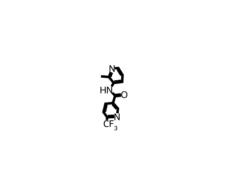 Cc1ncccc1NC(=O)c1ccc(C(F)(F)F)nc1